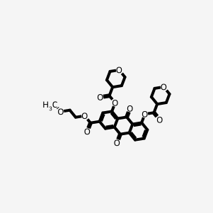 COCCOC(=O)c1cc(OC(=O)C2CCOCC2)c2c(c1)C(=O)c1cccc(OC(=O)C3CCOCC3)c1C2=O